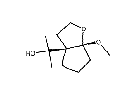 CO[C@@]12CCC[C@]1(C(C)(C)O)CCO2